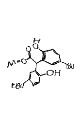 COC(=O)C(c1cc(C(C)(C)C)ccc1O)c1cc(C(C)(C)C)ccc1O